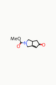 COC(=O)N1CC2=CC(=O)CC2C1